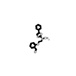 CN(CCOc1ccccc1C=O)c1ncc(-c2ccccc2)o1